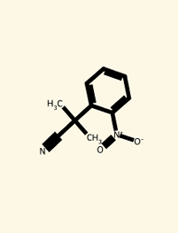 CC(C)(C#N)c1ccccc1[N+](=O)[O-]